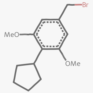 COc1cc(CBr)cc(OC)c1C1CCCC1